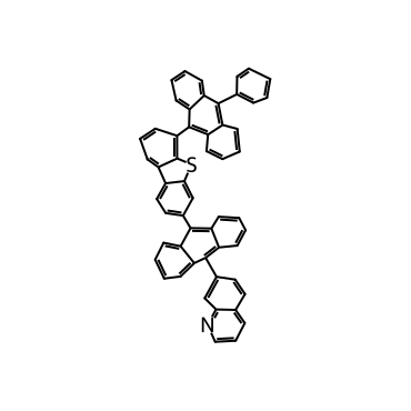 c1ccc(-c2c3ccccc3c(-c3cccc4c3sc3cc(-c5c6ccccc6c(-c6ccc7cccnc7c6)c6ccccc56)ccc34)c3ccccc23)cc1